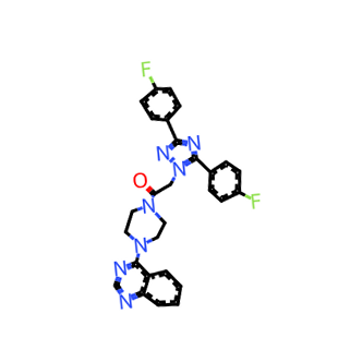 O=C(Cn1nc(-c2ccc(F)cc2)nc1-c1ccc(F)cc1)N1CCN(c2ncnc3ccccc23)CC1